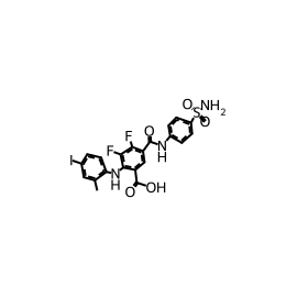 Cc1cc(I)ccc1Nc1c(C(=O)O)cc(C(=O)Nc2ccc(S(N)(=O)=O)cc2)c(F)c1F